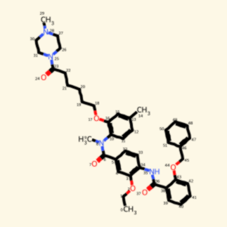 CCOc1cc(C(=O)N(C)c2ccc(C)cc2OCCCCCC(=O)N2CCN(C)CC2)ccc1NC(=O)c1ccccc1OCc1ccccc1